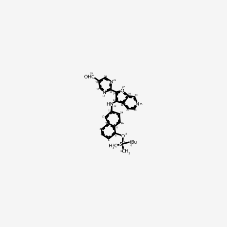 CC(C)(C)[Si](C)(C)Oc1cccc2cc(Nc3c(-c4ncc(C=O)cn4)oc4cnccc34)ccc12